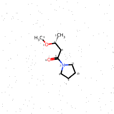 CO[C@H](C)CC(=O)N1CCCC1